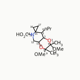 CCCC1C2OC(C)(OC)C(C)(OC)OC2CN(C(=O)O)C12CC2